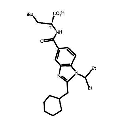 CCC(C)C[C@H](NC(=O)c1ccc2c(c1)nc(CC1CCCCC1)n2C(CC)CC)C(=O)O